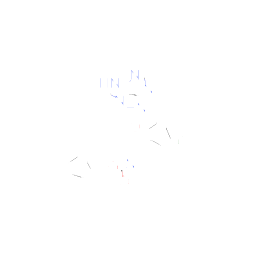 COc1c(C(C)Nc2ncnc3[nH]cnc23)cc(Cl)c(C)c1C1CN(C(=O)OCc2ccccc2)C1